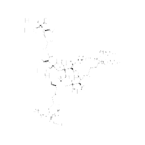 CCO[Si](CCCOC(=O)C(C)(CC(C)(C)C(=O)OCCC[Si](OC)(OC)OC)CC(C)(CC(C)(CC)C(=O)OCCOC(=O)C(C)(C)CC)C(=O)OC)(OCC)OCC